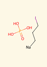 O=P(O)(O)O.[Na][CH2]CCI